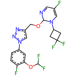 FC1=CN(C2CC(F)(F)C2)C(OCc2cn(-c3ccc(F)c(OC(F)F)c3)nn2)N=C1